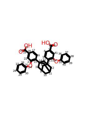 O=C(O)c1ccc(C23CC4CC(C2)CC(c2ccc(C(=O)O)cc2Oc2ccccc2)(C4)C3)c(Oc2ccccc2)c1